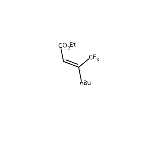 CCCCC(=CC(=O)OCC)C(F)(F)F